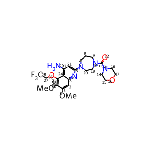 COc1cc2nc(N3CCCN(C(=O)N4CCOCC4)CC3)cc(N)c2c(OCC(F)(F)F)c1OC